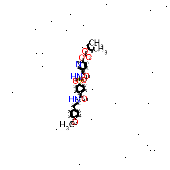 CCC(CC)OC(=O)Oc1ccc(C(=O)NS(=O)(=O)c2ccc(C(=O)NCCc3ccc(OC)cc3)cc2)cn1